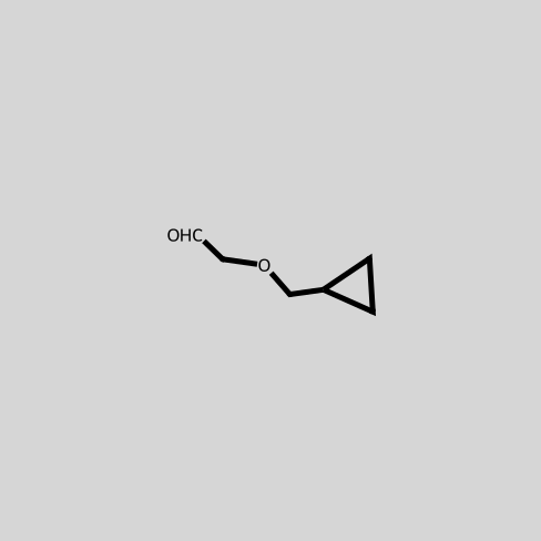 O=CCOCC1CC1